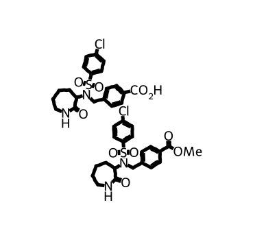 COC(=O)c1ccc(CN(C2CCCCNC2=O)S(=O)(=O)c2ccc(Cl)cc2)cc1.O=C(O)c1ccc(CN(C2CCCCNC2=O)S(=O)(=O)c2ccc(Cl)cc2)cc1